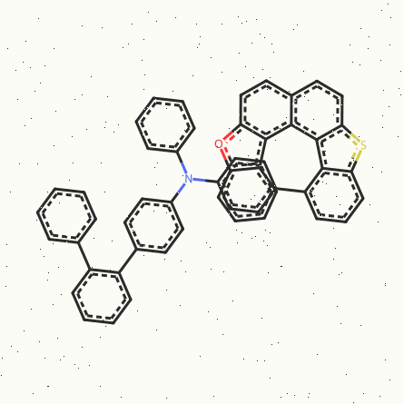 c1ccc(-c2ccccc2-c2ccc(N(c3ccccc3)c3ccc(-c4cccc5sc6ccc7ccc8oc9ccccc9c8c7c6c45)cc3)cc2)cc1